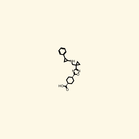 O=C(O)[C@H]1CC[C@@H](c2nc(C3(CNC4CC4c4ccccc4)CC3)no2)CC1